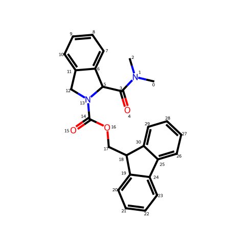 CN(C)C(=O)C1c2ccccc2CN1C(=O)OCC1c2ccccc2-c2ccccc21